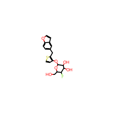 OCC1OC(Oc2ccsc2Cc2ccc3occc3c2)C(O)C(O)C1F